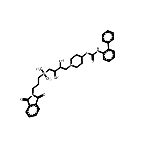 C[N+](C)(CCCN1C(=O)c2ccccc2C1=O)CC(O)C(O)CN1CCC(OC(=O)Nc2ccccc2-c2ccccc2)CC1